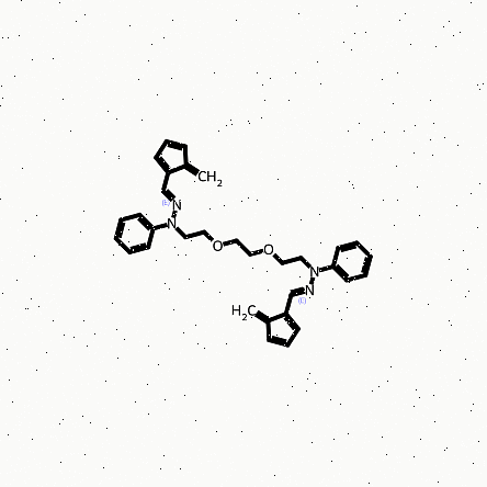 C=C1C=CC=C1/C=N/N(CCOCCOCCN(/N=C/C1=CC=CC1=C)c1ccccc1)c1ccccc1